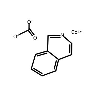 O=C([O-])[O-].[Co+2].c1ccc2cnccc2c1